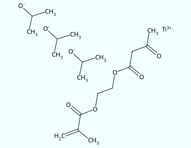 C=C(C)C(=O)OCCOC(=O)CC(C)=O.CC(C)[O-].CC(C)[O-].CC(C)[O-].[Ti+3]